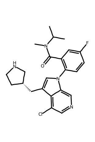 CC(C)N(C)C(=O)c1cc(F)ccc1-n1cc(C[C@@H]2CCNC2)c2c(Cl)cncc21